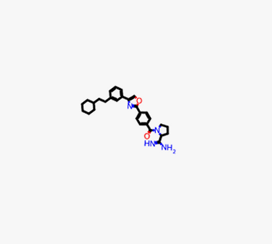 N=C(N)C1CCCN1C(=O)c1ccc(-c2nc(-c3cccc(CCC4CCCCC4)c3)co2)cc1